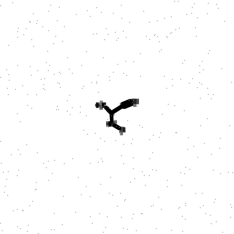 C#CC([CH2])NCC